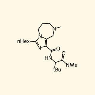 CCCCCCc1nc(C(=O)NC(C(=O)NC)C(C)(C)C)c2n1CCCN(C)C2